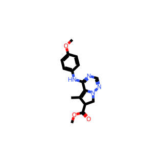 COC(=O)C1CN2N=CN=C(Nc3ccc(OC)cc3)C2=C1C